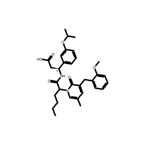 CCCCC(C(=O)N[C@@H](CC(=O)O)c1cccc(OC(C)C)c1)n1cc(C)cc(Cc2ccccc2OC)c1=O